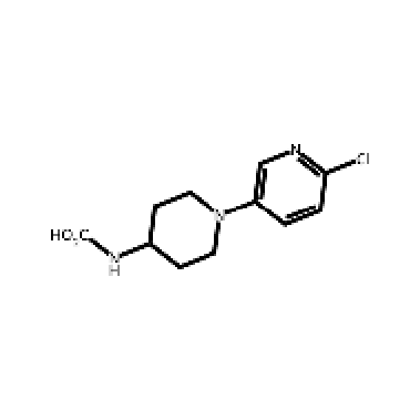 O=C(O)NC1CCN(c2ccc(Cl)nc2)CC1